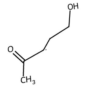 CC(=O)[CH]CCO